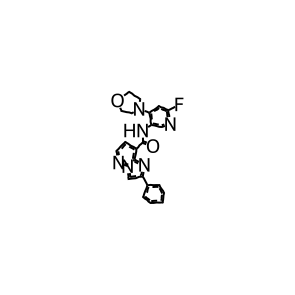 O=C(Nc1cnc(F)cc1N1CCOCC1)c1ccnn2cc(-c3ccccc3)nc12